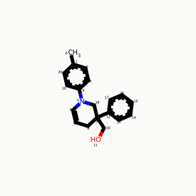 Cc1ccc(N2C=CCC(CO)(c3ccccc3)C2)cc1